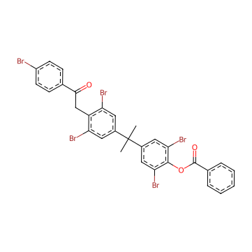 CC(C)(c1cc(Br)c(CC(=O)c2ccc(Br)cc2)c(Br)c1)c1cc(Br)c(OC(=O)c2ccccc2)c(Br)c1